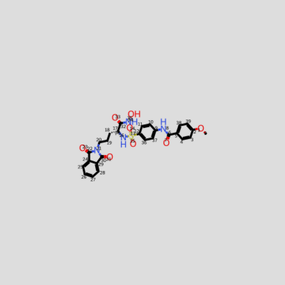 COc1ccc(C(=O)Nc2ccc(S(=O)(=O)N[C@H](CCCN3C(=O)c4ccccc4C3=O)C(=O)NO)cc2)cc1